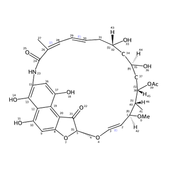 CO[C@H]1/C=C/O[C@@]2(C)Oc3cc(O)c4c(O)c(cc(O)c4c3C2=O)NC(=O)/C(C)=C\C=C\C[C@H](O)C[C@@H](O)C[C@H](OC(C)=O)[C@@H]1C